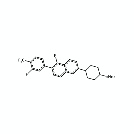 CCCCCCC1CCC(c2ccc3c(F)c(-c4ccc(C(F)(F)F)c(F)c4)ccc3c2)CC1